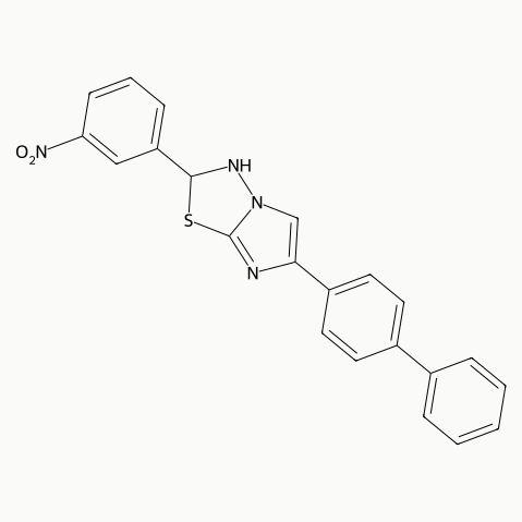 O=[N+]([O-])c1cccc(C2Nn3cc(-c4ccc(-c5ccccc5)cc4)nc3S2)c1